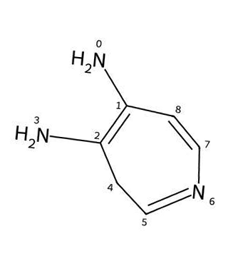 NC1=C(N)CC=NC=C1